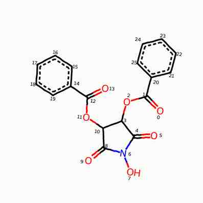 O=C(OC1C(=O)N(O)C(=O)C1OC(=O)c1ccccc1)c1ccccc1